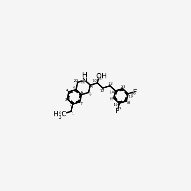 CCc1ccc2c(c1)CC(C(O)CCc1cc(F)cc(F)c1)NC2